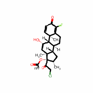 CCCC(=O)O[C@@]1(C(=O)CCl)[C@@H](C)C[C@H]2[C@@H]3CCC4=C(F)C(=O)C=C[C@]4(C)[C@H]3[C@@H](O)C[C@@]21C